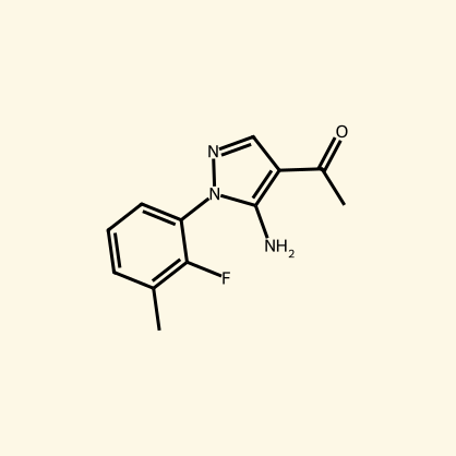 CC(=O)c1cnn(-c2cccc(C)c2F)c1N